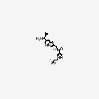 NC(c1cnn2cc(CNC(=O)c3cnn(CCC(F)(F)F)c3)nc2c1)C1CC1